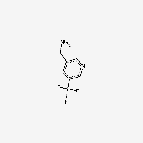 NCc1cncc(C(F)(F)F)c1